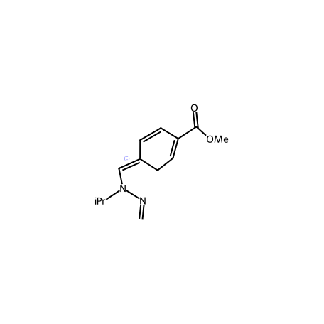 C=NN(/C=C1/C=CC(C(=O)OC)=CC1)C(C)C